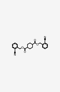 N#Cc1ccccc1COC(=O)C1CCC(C(=O)OCc2ccccc2C#N)CC1